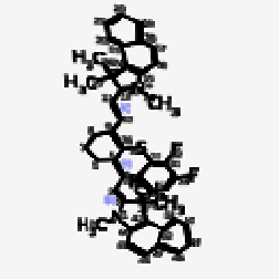 CN1/C(=C/C=C2\CCCC(/C=C/C3=[N+](C)c4ccc5ccccc5c4C3(C)C)=C2Sc2c(F)c(F)cc(F)c2F)C(C)(C)c2c1ccc1ccccc21